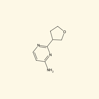 Nc1ccnc(C2CCOC2)n1